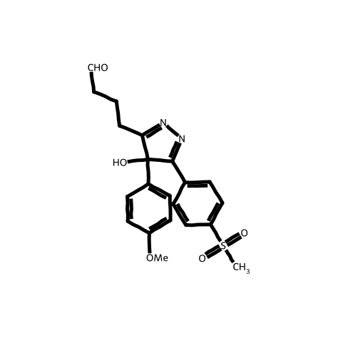 COc1ccc(C2(O)C(CCCC=O)=NN=C2c2ccc(S(C)(=O)=O)cc2)cc1